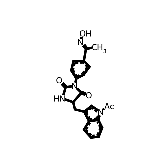 CC(=O)n1cc(CC2NC(=O)N(c3ccc(/C(C)=N/O)cc3)C2=O)c2ccccc21